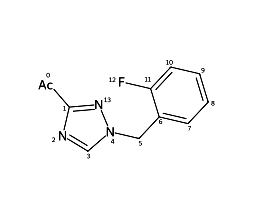 CC(=O)c1ncn(Cc2ccccc2F)n1